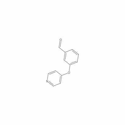 O=Cc1cccc(Oc2ccncc2)c1